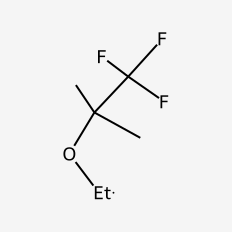 C[CH]OC(C)(C)C(F)(F)F